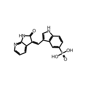 O=C1Nc2ncccc2C1=Cc1c[nH]c2ccc(P(=O)(O)O)cc12